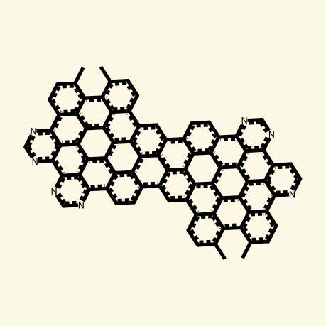 Cc1ccc2c3nccc4c5ncnc6c7ccc8c9cc%10c%11ccc(C)c%12c%13c(C)ccc%14c%15ncnc%16c%17ncnc%18c%19ccc%20c%21cc%22c%23ccc(C)c%24c1c2c1c(c43)c(c56)c2c7c8c(c%21c9c3c%20c%19c4c(c%18%17)c(c%15%16)c(c%14%13)c(c%11%12)c4c%103)c%22c2c1c%23%24